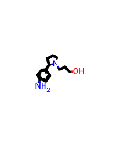 Nc1ccc(C2CCCN2CCCO)cc1